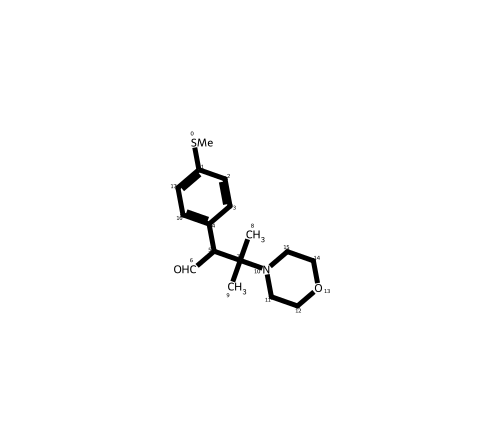 CSc1ccc(C(C=O)C(C)(C)N2CCOCC2)cc1